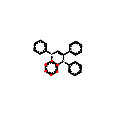 C(=C(\c1ccccc1)P(c1ccccc1)c1ccccc1)/P(c1ccccc1)c1ccccc1